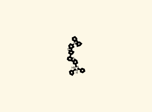 c1ccc(C2=NC(c3ccc4sc5c(-c6ccc7c(c6)sc6ccc(-n8c9ccccc9c9ccccc98)cc67)cccc5c4c3)NC(c3ccccc3)N2)cc1